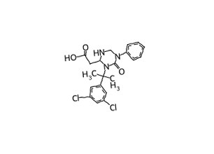 CC(C)(c1cc(Cl)cc(Cl)c1)N1C(=O)N(c2ccccc2)CNC1CC(=O)O